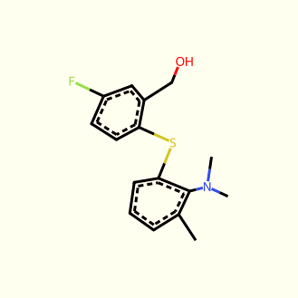 Cc1cccc(Sc2ccc(F)cc2CO)c1N(C)C